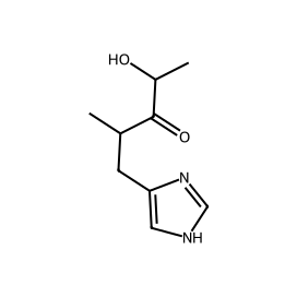 CC(O)C(=O)C(C)Cc1c[nH]cn1